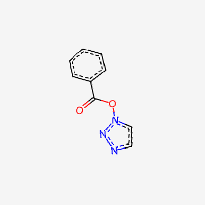 O=C(On1ccnn1)c1ccccc1